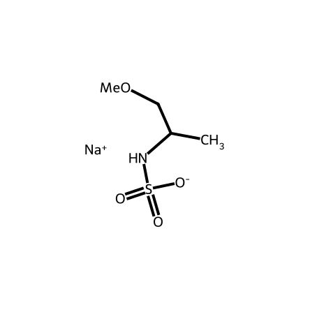 COCC(C)NS(=O)(=O)[O-].[Na+]